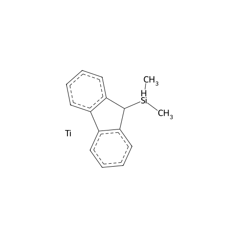 C[SiH](C)C1c2ccccc2-c2ccccc21.[Ti]